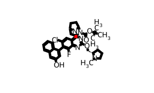 CN1CCC[C@H]1COc1nc(N2C3CCC2N(C(=O)OC(C)(C)C)CC3)c2cc(Cl)c(-c3cc(O)cc4ccccc34)c(F)c2n1